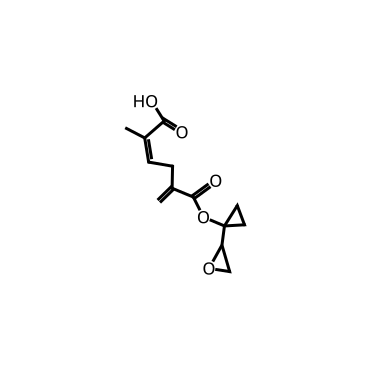 C=C(CC=C(C)C(=O)O)C(=O)OC1(C2CO2)CC1